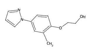 Cc1cc(-n2cccn2)ccc1OCCO